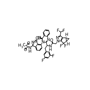 Cn1nc(NS(C)(=O)=O)c2cccc(-n3c(C(Cc4cc(F)cc(F)c4)NC(=O)Cn4nc(C(F)F)c5c4C(F)(F)[C@@H]4C[C@H]54)nc4ccccc4c3=O)c21